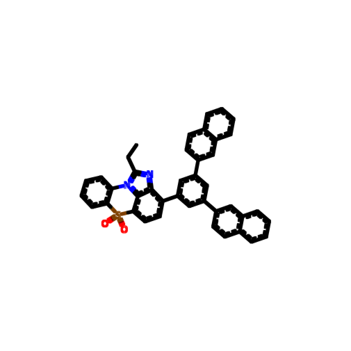 CCc1nc2c(-c3cc(-c4ccc5ccccc5c4)cc(-c4ccc5ccccc5c4)c3)ccc3c2n1-c1ccccc1S3(=O)=O